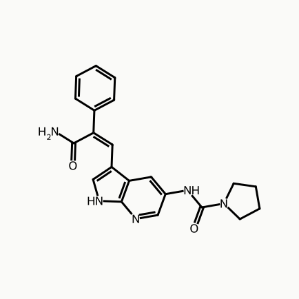 NC(=O)/C(=C\c1c[nH]c2ncc(NC(=O)N3CCCC3)cc12)c1ccccc1